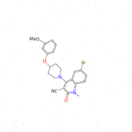 COc1cccc(OC2CCN(c3c(C#N)c(=O)n(C)c4ccc(Br)cc34)CC2)c1